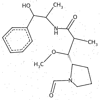 COC(C(C)C(=O)NC(C)C(O)c1ccccc1)[C@@H]1CCCN1C=O